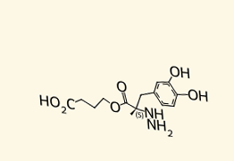 C[C@@](Cc1ccc(O)c(O)c1)(NN)C(=O)OCCCC(=O)O